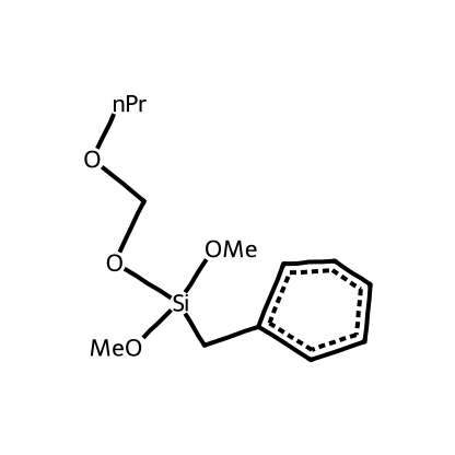 CCCOCO[Si](Cc1ccccc1)(OC)OC